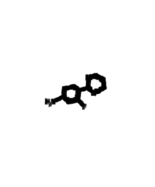 Nc1ccc(-c2ncccn2)c(F)c1